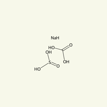 O=C(O)O.O=S(O)O.[NaH]